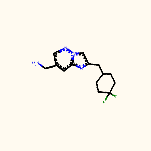 NCc1cnn2cc(CC3CCC(F)(F)CC3)nc2c1